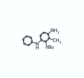 CCCCc1c(Nc2ccccc2)ccc(N)c1C